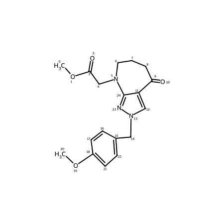 COC(=O)CN1CCCC(=O)c2cn(Cc3ccc(OC)cc3)nc21